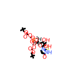 [2H]C([2H])(OP(=O)(OCOC(=O)OCC(C)(C)C)OCOC(=O)OCC(C)(C)C)[C@H]1O[C@@H](n2ccc(=O)[nH]c2=S)C(C)(O)[C@H]1O